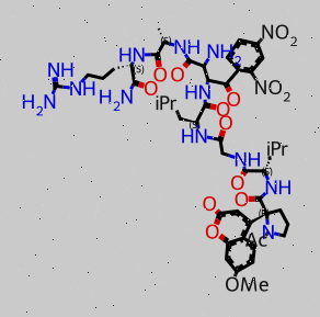 COc1ccc2c([C@@]3(C(=O)N[C@@H](CC(C)C)C(=O)NCC(=O)N[C@@H](CC(C)C)C(=O)NC(C(=O)c4ccc([N+](=O)[O-])cc4[N+](=O)[O-])C(N)C(=O)N[C@@H](C)C(=O)N[C@@H](CCCNC(=N)N)C(N)=O)CCCN3C(C)=O)cc(=O)oc2c1